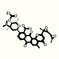 CCC(=O)O[C@@H]1[C@H](C)O[C@@H](c2ccc3c(c2C(=O)CC)C(=O)c2c(cc(C)c4c(=O)cc([C@]5(C)O[C@H]5[C@@H]5O[C@H]5C)oc24)C3=O)C[C@@]1(C)N(C)C